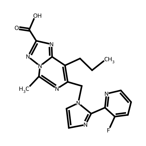 CCCc1c(Cn2ccnc2-c2ncccc2F)nc(C)n2nc(C(=O)O)nc12